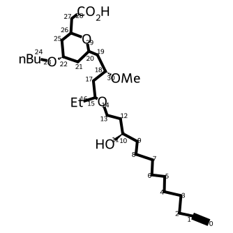 C#CCCCCCCCC[C@@H](O)CCOC(CC)C[C@H](CC1C[C@H](OCCCC)CC(CC(=O)O)O1)OC